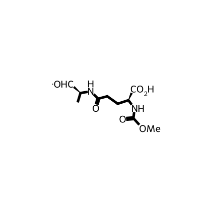 COC(=O)N[C@@H](CCC(=O)N[C@@H](C)[C]=O)C(=O)O